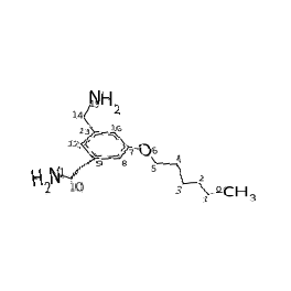 CCCCCCOc1cc(CN)[c]c(CN)c1